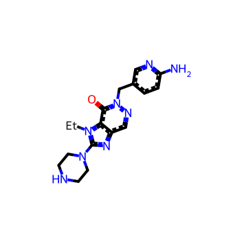 CCn1c(N2CCNCC2)nc2cnn(Cc3ccc(N)nc3)c(=O)c21